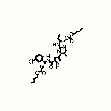 CCCCOC(=O)OC[C@@H](CC)Nc1ncc(C)c(-c2c[nH]c(C(=O)N[C@H](COC(=O)OCCCC)c3cccc(Cl)c3)c2)n1